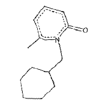 Cc1cccc(=O)n1CC1CCCCC1